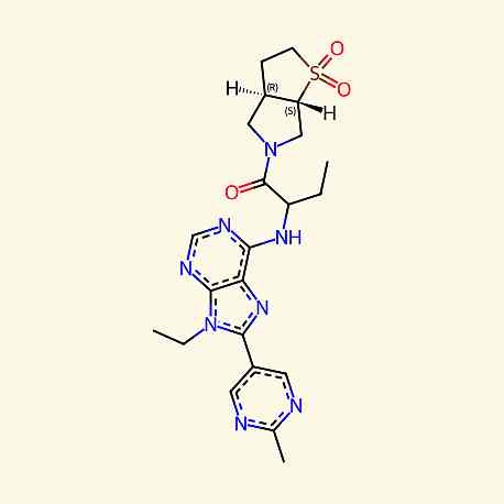 CCC(Nc1ncnc2c1nc(-c1cnc(C)nc1)n2CC)C(=O)N1C[C@H]2CCS(=O)(=O)[C@@H]2C1